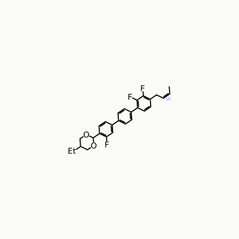 C/C=C\Cc1ccc(-c2ccc(-c3ccc(C4OCC(CC)CO4)c(F)c3)cc2)c(F)c1F